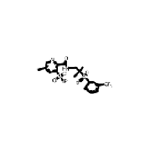 Cc1cnc(C(=O)NCC(C)(C)S(=O)(=O)c2cccc(C(F)(F)F)c2)c(S(=O)(=O)C(C)C)c1